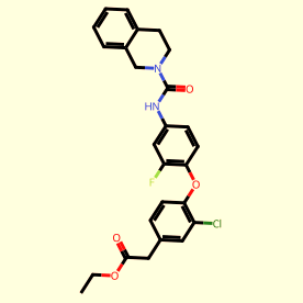 CCOC(=O)Cc1ccc(Oc2ccc(NC(=O)N3CCc4ccccc4C3)cc2F)c(Cl)c1